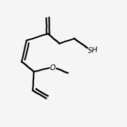 C=CC(/C=C\C(=C)CCS)OC